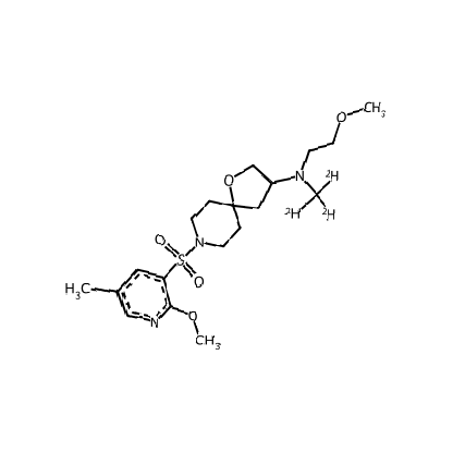 [2H]C([2H])([2H])N(CCOC)C1COC2(CCN(S(=O)(=O)c3cc(C)cnc3OC)CC2)C1